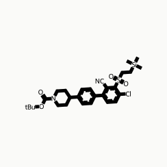 CC(C)(C)OC(=O)N1CCC(c2ccc(-c3ccc(Cl)c(S(=O)(=O)CC[Si](C)(C)C)c3C#N)cc2)CC1